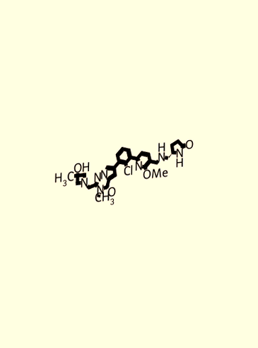 COc1nc(-c2cccc(-c3cc4c(=O)n(C)c(CN5CC(C)(O)C5)nn4c3)c2Cl)ccc1CNC[C@@H]1CCC(=O)N1